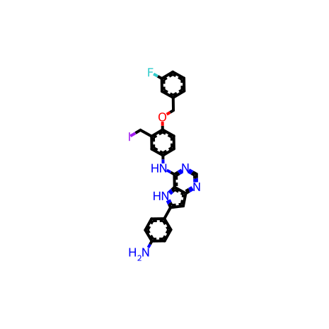 Nc1ccc(-c2cc3ncnc(Nc4ccc(OCc5cccc(F)c5)c(CI)c4)c3[nH]2)cc1